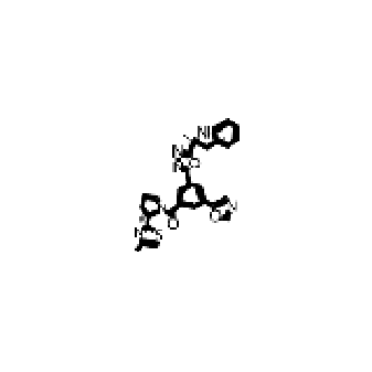 Cc1csc([C@H]2CCCN2C(=O)c2cc(-c3cnco3)cc(-c3nnc([C@@](C)(N)Cc4ccccc4)o3)c2)n1